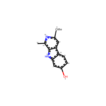 COc1cc2c([nH]c3cc(O)ccc32)c(C)n1